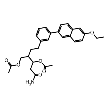 CCOc1ccc2cc(-c3cccc(CCC(COC(C)=O)C(CC(N)=O)OC(C)=O)c3)ccc2c1